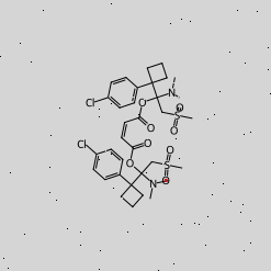 CN(C)C(CS(C)(=O)=O)(OC(=O)/C=C\C(=O)OC(CS(C)(=O)=O)(N(C)C)C1(c2ccc(Cl)cc2)CCC1)C1(c2ccc(Cl)cc2)CCC1